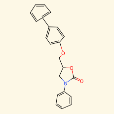 O=C1OC(COc2ccc(-c3ccccc3)cc2)CN1c1ccccc1